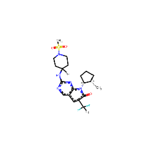 [2H]C1(Nc2ncc3cc(C([2H])(F)F)c(=O)n([C@@H]4CCC[C@@H]4C)c3n2)CCN(S(C)(=O)=O)CC1